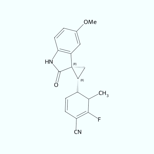 COc1ccc2c(c1)[C@]1(C[C@@H]1C1C=CC(C#N)=C(F)C1C)C(=O)N2